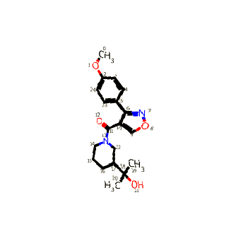 COc1ccc(-c2nocc2C(=O)N2CCCC(C(C)(C)O)C2)cc1